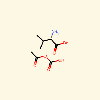 CC(=O)OC(=O)O.CC(C)[C@H](N)C(=O)O